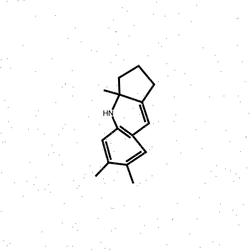 Cc1cc2c(cc1C)NC1(C)CCCC1=C2